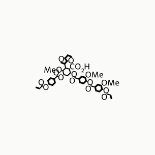 C=CC(=O)Oc1ccc(C(=O)OC2C[C@@H](OC(=O)c3ccc(OC(=O)c4ccc(OC(=O)C=C)c(OC)c4)c(OC)c3)C(C(=O)O)C(c3coc4ccoc34)[C@H]2OC)cc1